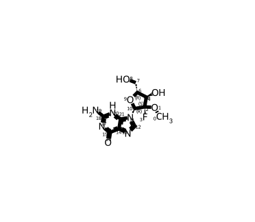 CO[C@]1(F)[C@H](O)[C@@H](CO)O[C@H]1n1cnc2c(=O)nc(N)[nH]c21